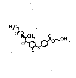 CCC(=O)O/N=C(\C)C(=O)c1ccc(Sc2ccc(C(=O)OCCO)cc2)c(F)c1